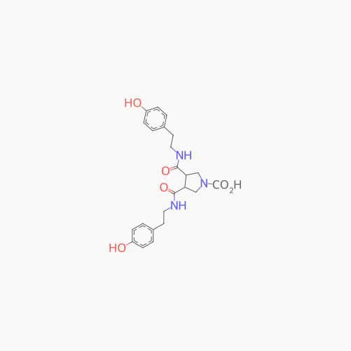 O=C(NCCc1ccc(O)cc1)C1CN(C(=O)O)CC1C(=O)NCCc1ccc(O)cc1